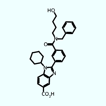 O=C(O)c1ccc2c(c1)nc(-c1cccc(C(=O)N(CCCCO)Cc3ccccc3)c1)n2C1CCCCC1